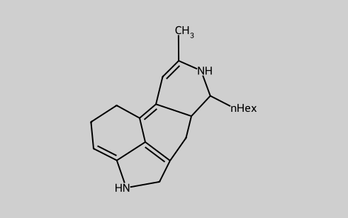 CCCCCCC1NC(C)=CC2=C3CCC=C4NCC(=C43)CC21